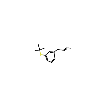 [CH2]C=CCc1cccc(SC(C)(C)C)c1